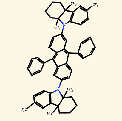 CC12CCCCC1(C)N(c1ccc3c(-c4ccccc4)c4cc(N5c6ccc(C(F)(F)F)cc6C6(C)CCCCC56C)ccc4c(-c4ccccc4)c3c1)c1ccc(C(F)(F)F)cc12